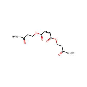 CCCCCCCC(=O)CCOC(=O)/C=C\C(=O)OCCC(=O)CCCCCCC